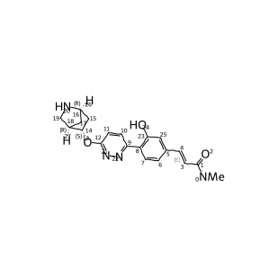 CNC(=O)/C=C/c1ccc(-c2ccc(O[C@H]3C[C@H]4C[C@@H]3CN4)nn2)c(O)c1